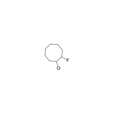 [O]C1CCCCCCC1F